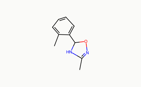 CC1=NOC(c2ccccc2C)N1